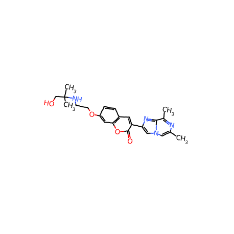 Cc1cn2cc(-c3cc4ccc(OCCNC(C)(C)CO)cc4oc3=O)nc2c(C)n1